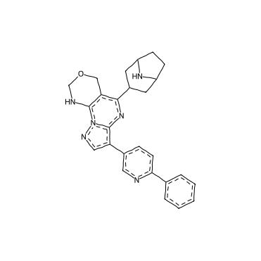 c1ccc(-c2ccc(-c3cnn4c5c(c(C6CC7CCC(C6)N7)nc34)COCN5)cn2)cc1